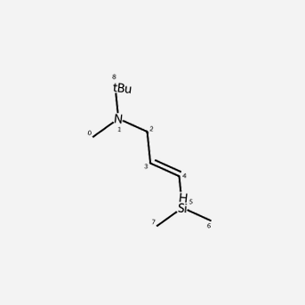 CN(CC=C[SiH](C)C)C(C)(C)C